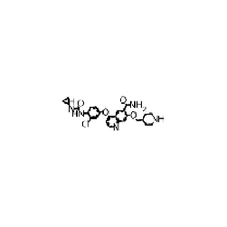 NC(=O)c1cc2c(Oc3ccc(NC(=O)NC4CC4)c(Cl)c3)ccnc2cc1OCC1CCNCC1